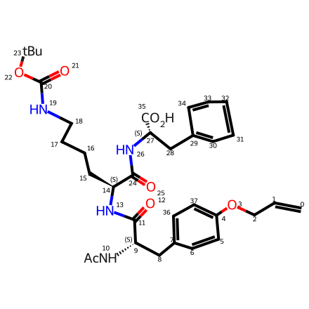 C=CCOc1ccc(C[C@H](NC(C)=O)C(=O)N[C@@H](CCCCNC(=O)OC(C)(C)C)C(=O)N[C@@H](Cc2ccccc2)C(=O)O)cc1